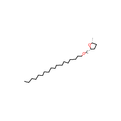 CCCCCCCCCCCCCCCCCCOC[C@H]1CC[C@@H](C)O1